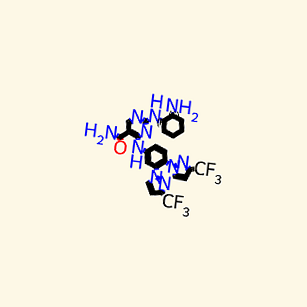 NC(=O)c1cnc(N[C@@H]2CCCC[C@@H]2N)nc1Nc1ccc(-n2ccc(C(F)(F)F)n2)c(-n2ccc(C(F)(F)F)n2)c1